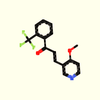 COc1ccncc1C=CC(=O)c1ccccc1C(F)(F)F